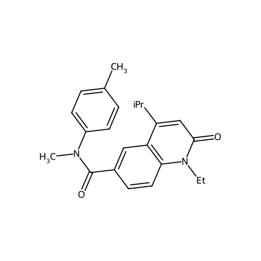 CCn1c(=O)cc(C(C)C)c2cc(C(=O)N(C)c3ccc(C)cc3)ccc21